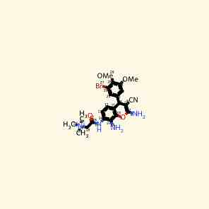 COc1cc(C2C(C#N)=C(N)Oc3c2ccc(NC(=O)C[N+](C)(C)C)c3N)cc(Br)c1OC